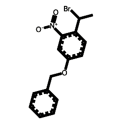 CC(Br)c1ccc(OCc2ccccc2)cc1[N+](=O)[O-]